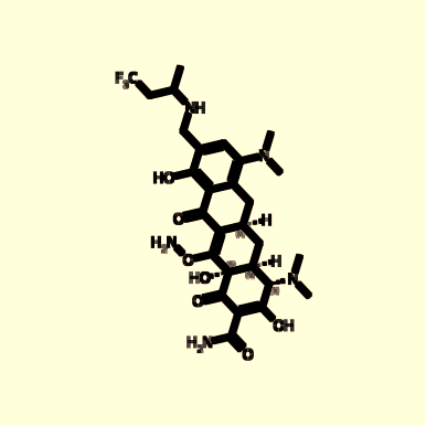 CC(CC(F)(F)F)NCc1cc(N(C)C)c2c(c1O)C(=O)C1=C(ON)[C@]3(O)C(=O)C(C(N)=O)=C(O)[C@@H](N(C)C)[C@@H]3C[C@@H]1C2